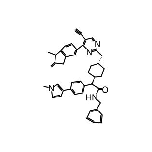 C#Cc1cnc(C[C@H]2CC[C@H](C(C(=O)NCc3ccccc3)c3ccc(-c4ccn(C)c4)cc3)CC2)nc1-c1ccc2c(c1)CC(=C)C2C